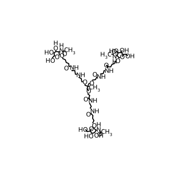 CC(=O)NC1C(OCCCCC(=O)NCCCNCCCOCC(C)(COCCC(=O)NCCCNC(=O)CCCCOC2OC(CO)C(O)C(O)C2NC(C)=O)COCCC(=O)NCCCNC(=O)CCCCOC2OC(CO)C(O)C(O)C2NC(C)=O)OC(CO)C(O)C1O